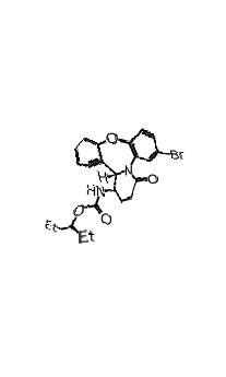 CCC(CC)OC(=O)N[C@@H]1CCC(=O)N2c3cc(Br)ccc3Oc3ccccc3[C@@H]12